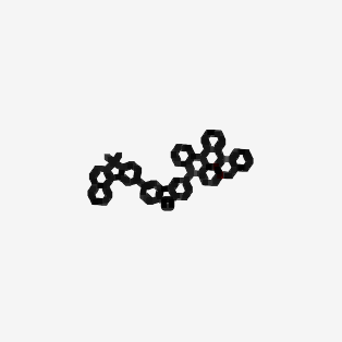 CC1(C)c2ccc(-c3ccc4oc5ccc(-c6c7ccccc7c(-c7ccccc7-c7cccc8ccccc78)c7ccccc67)cc5c4c3)cc2-c2c1ccc1ccccc21